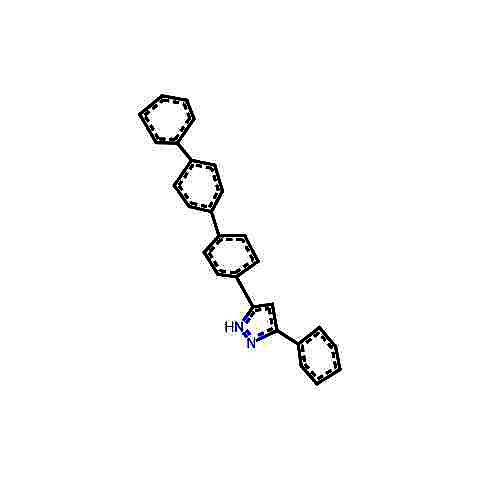 c1ccc(-c2ccc(-c3ccc(-c4cc(-c5ccccc5)n[nH]4)cc3)cc2)cc1